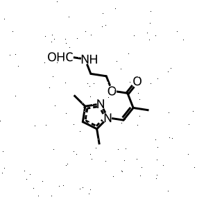 CC(=Cn1nc(C)cc1C)C(=O)OCCNC=O